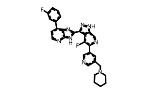 Fc1cccc(-c2ccnc3[nH]c(-c4n[nH]c5cnc(-c6cncc(CN7CCCCC7)c6)c(F)c45)nc23)c1